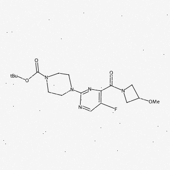 COC1CN(C(=O)c2nc(N3CCN(C(=O)OC(C)(C)C)CC3)ncc2F)C1